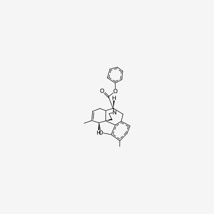 CC1=CCC2[C@@H]3Cc4ccc(C)c5c4[C@]2(CCN3C(=O)Oc2ccccc2)[C@@H]1O5